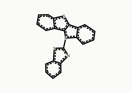 c1ccc2sc(-n3c4ccccc4c4sc5ccccc5c43)nc2c1